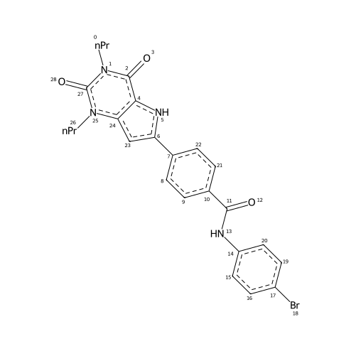 CCCn1c(=O)c2[nH]c(-c3ccc(C(=O)Nc4ccc(Br)cc4)cc3)cc2n(CCC)c1=O